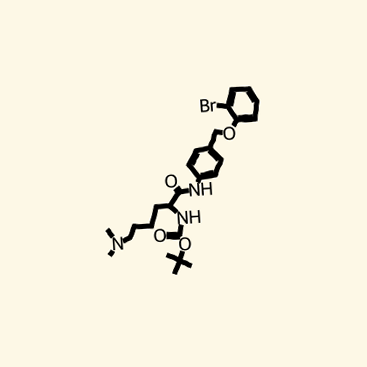 CN(C)CCCCC(NC(=O)OC(C)(C)C)C(=O)Nc1ccc(COc2ccccc2Br)cc1